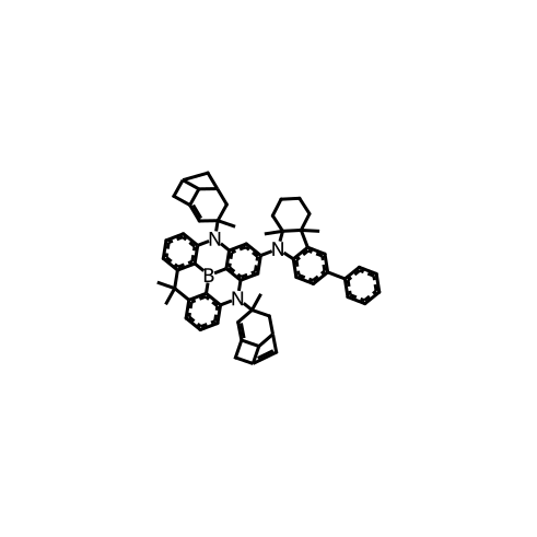 CC1(C)c2cccc3c2B2c4c(cc(N5c6ccc(-c7ccccc7)cc6C6(C)CCCCC56C)cc4N(C4(C)C=C5CC6CC(C4)C56)c4cccc1c42)N3C1(C)C=C2CC3=CC(C1)C32